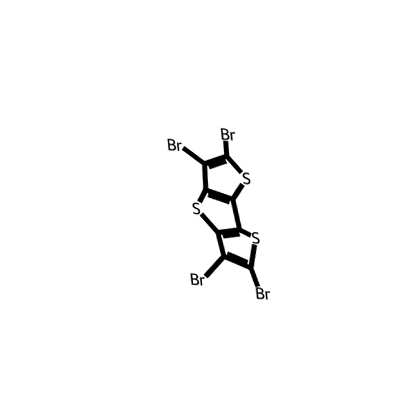 Brc1sc2c(sc3c(Br)c(Br)sc32)c1Br